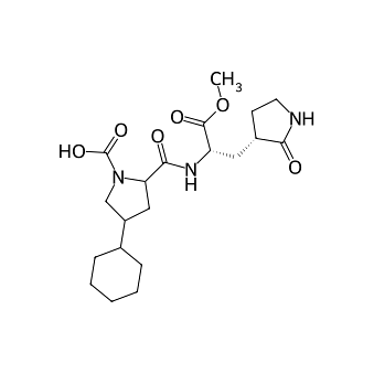 COC(=O)[C@H](C[C@@H]1CCNC1=O)NC(=O)C1CC(C2CCCCC2)CN1C(=O)O